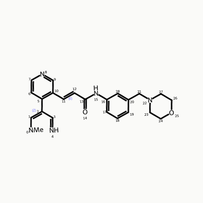 CN/C=C(\C=N)c1ccncc1/C=C/C(=O)Nc1cccc(CN2CCOCC2)c1